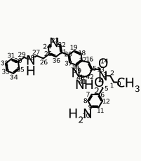 CCCN(OCc1ccc(N)cc1)C(=O)C1=Cc2ccc(-c3cncc(CCNCc4ccccc4)c3)cc2N=C(N)C1